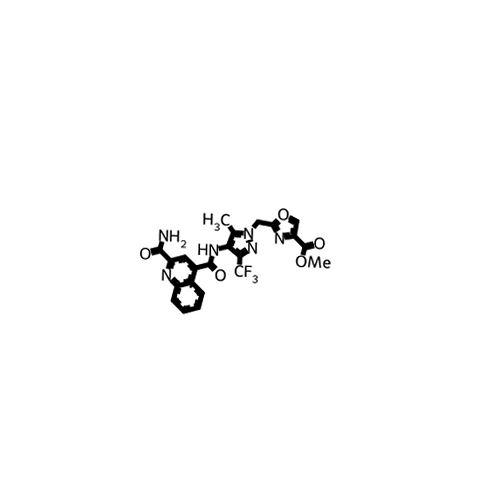 COC(=O)c1coc(Cn2nc(C(F)(F)F)c(NC(=O)c3cc(C(N)=O)nc4ccccc34)c2C)n1